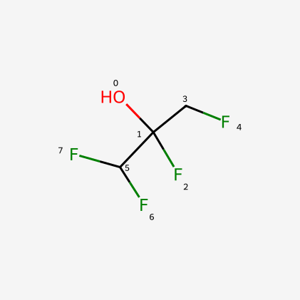 OC(F)(CF)C(F)F